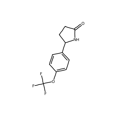 O=C1CCC(c2ccc(OC(F)(F)F)cc2)N1